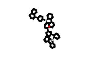 c1ccc(-c2ccccc2N(c2ccc(-c3cccc(-c4ccccc4-n4c5ccccc5c5ccccc54)c3)cc2)c2ccc(-c3cccc4ccccc34)cc2)cc1